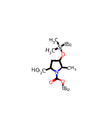 CC1C(O[Si](C)(C)C(C)(C)C)CC(C(=O)O)N1C(=O)OC(C)(C)C